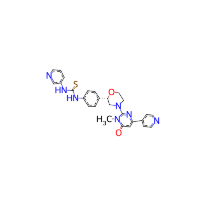 Cn1c(N2CCO[C@@H](c3ccc(NC(=S)Nc4cccnc4)cc3)C2)nc(-c2ccncc2)cc1=O